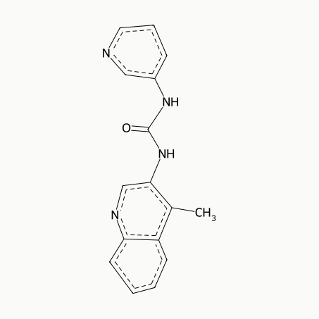 Cc1c(NC(=O)Nc2cccnc2)cnc2ccccc12